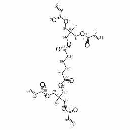 C=CC(=O)OCC(C)(COC(=O)C=C)COC(=O)CCCCC(=O)OCC(C)(COC(=O)C=C)COC(=O)C=C